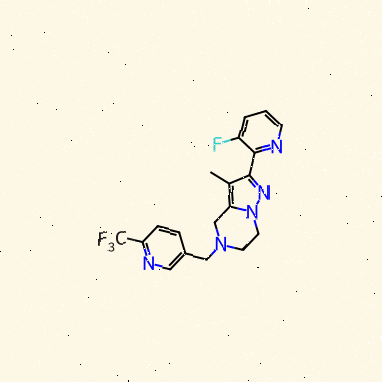 Cc1c(-c2ncccc2F)nn2c1CN(Cc1ccc(C(F)(F)F)nc1)CC2